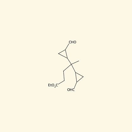 CCOC(=O)CCC(C)(C1CC1C=O)C1CC1C=O